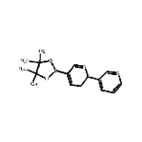 CC1(C)OB(C2=CCC(c3cccnc3)N=C2)OC1(C)C